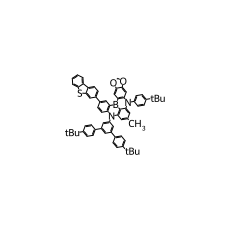 Cc1cc2c3c(c1)N(c1ccc(C(C)(C)C)cc1)c1cc4c(cc1B3c1cc(-c3ccc5c(c3)sc3ccccc35)ccc1N2c1cc(-c2ccc(C(C)(C)C)cc2)cc(-c2ccc(C(C)(C)C)cc2)c1)OCO4